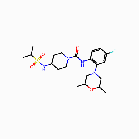 CC1CN(c2cc(F)ccc2NC(=O)N2CCC(NS(=O)(=O)C(C)C)CC2)CC(C)O1